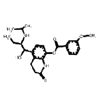 CCC(NC(C)C)C(O)c1ccc(OC(=O)c2cccc(OC)c2)c2c1CCC(=O)N2